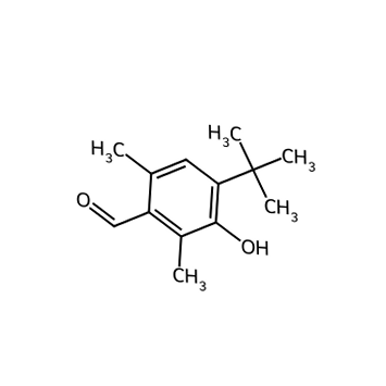 Cc1cc(C(C)(C)C)c(O)c(C)c1C=O